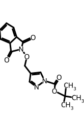 CC(C)(C)OC(=O)n1cc(CON2C(=O)c3ccccc3C2=O)cn1